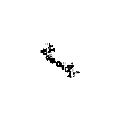 O=C(O)N[C@H](C(=O)N1[C@H](c2ncc(-c3ccc(-c4ccc(-c5cnc([C@@H]6C[C@@H]7C[C@@H]7N6C(=O)[C@@H](NC(=O)O)C6CC6)[nH]5)cc4)cc3)[nH]2)C[C@@H]2C[C@@H]21)C1CC1